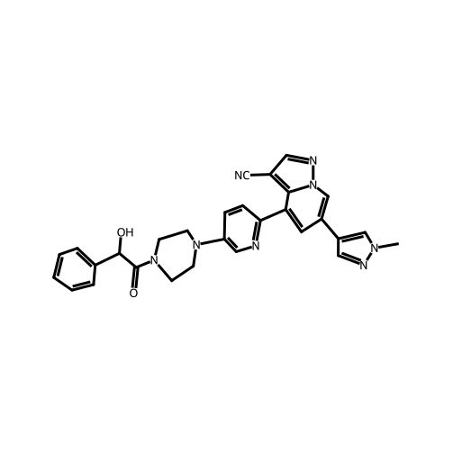 Cn1cc(-c2cc(-c3ccc(N4CCN(C(=O)C(O)c5ccccc5)CC4)cn3)c3c(C#N)cnn3c2)cn1